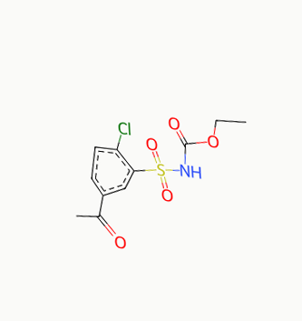 CCOC(=O)NS(=O)(=O)c1cc(C(C)=O)ccc1Cl